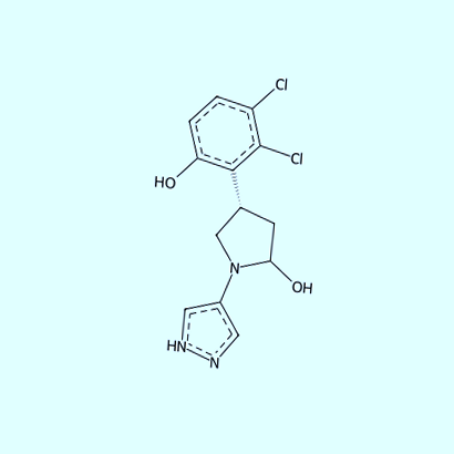 Oc1ccc(Cl)c(Cl)c1[C@@H]1CC(O)N(c2cn[nH]c2)C1